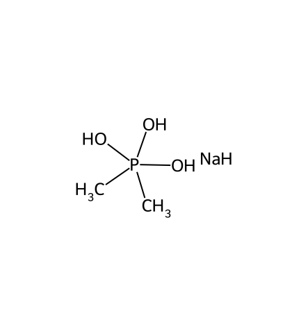 CP(C)(O)(O)O.[NaH]